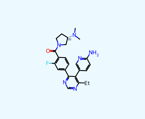 CCc1ncnc(-c2ccc(C(=O)N3CC[C@H](N(C)C)C3)c(F)c2)c1-c1ccc(N)nc1